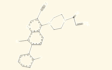 C=CC(=O)N1CCN(c2c(C#N)cnc3c(Cl)c(-c4ccccc4F)ccc23)CC1